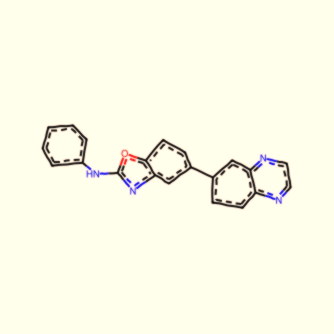 c1ccc(Nc2nc3cc(-c4ccc5nccnc5c4)ccc3o2)cc1